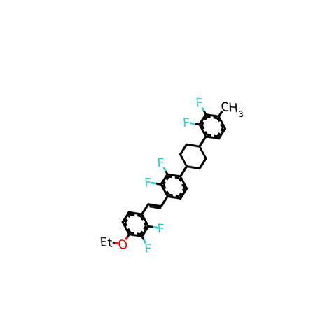 CCOc1ccc(/C=C/c2ccc(C3CCC(c4ccc(C)c(F)c4F)CC3)c(F)c2F)c(F)c1F